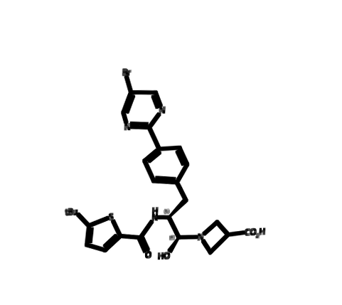 CC(C)(C)c1ccc(C(=O)N[C@@H](Cc2ccc(-c3ncc(Br)cn3)cc2)[C@H](O)N2CC(C(=O)O)C2)s1